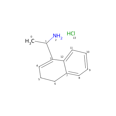 CC(N)C1=CCCc2ccccc21.Cl